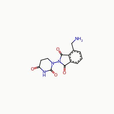 NCc1cccc2c1C(=O)N(N1CCC(=O)NC1=O)C2=O